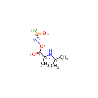 CC(C)NC(C)C(=O)O/N=[P+](\[O-])Cl